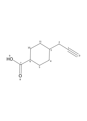 [C]#CCC1CCC(C(=O)O)CC1